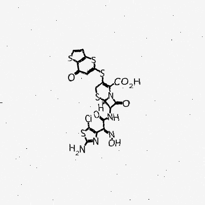 Nc1nc(C(=NO)C(=O)NC2C(=O)N3C(C(=O)O)=C(Sc4cc(=O)c5sccc5s4)CS[C@@H]23)c(Cl)s1